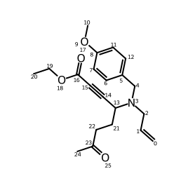 C=CCN(Cc1ccc(OC)cc1)C(C#CC(=O)OCC)CCC(C)=O